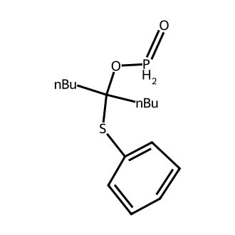 CCCCC(CCCC)(O[PH2]=O)Sc1ccccc1